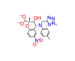 COC(OC)[C@@]1(C)Oc2ccc([N+](=O)[O-])cc2[C@@H](N(Cc2nnn(C)n2)c2ccc(C)cc2)[C@@H]1O